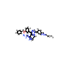 CCCNCC1CCC(c2nc(-c3cccc(OCc4ccccc4)c3)c3c(N)nccn23)CC1